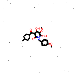 COc1ccc(Cn2c(O)c(OC)c(O)c(C(=O)C3CCC(C)CC3)c2=O)cc1